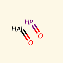 O=P.[O]=[AlH]